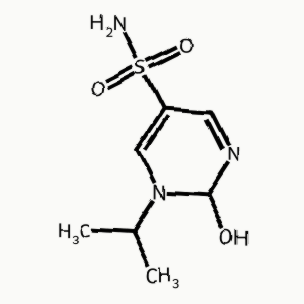 CC(C)N1C=C(S(N)(=O)=O)C=NC1O